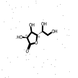 O=C1O[C@@H](C(O)CO)C(O)[C@@H]1O